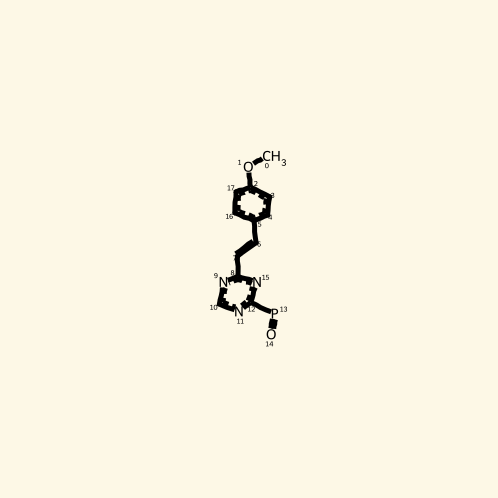 COc1ccc(C=Cc2ncnc(P=O)n2)cc1